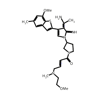 COCCN(C)C/C=C/C(=O)N1CCC(N2C=C(c3cc4cc(C)cc(OC)c4s3)/C(=C(/C)N)C2=N)C1